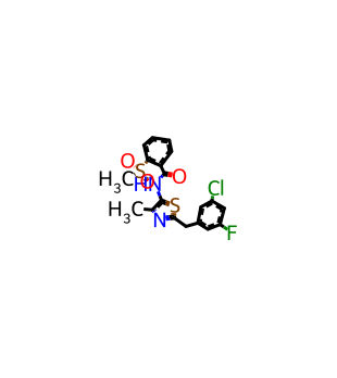 Cc1nc(Cc2cc(F)cc(Cl)c2)sc1NC(=O)c1ccccc1S(C)(=O)=O